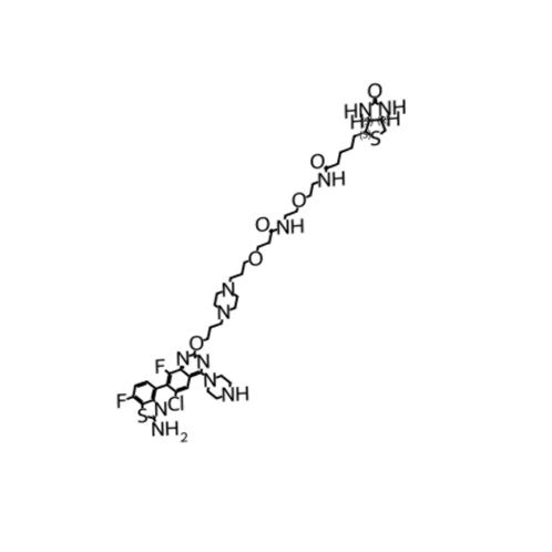 Nc1nc2c(-c3c(Cl)cc4c(N5CCNCC5)nc(OCCCN5CCN(CCCOCCC(=O)NCCOCCNC(=O)CCCC[C@@H]6SC[C@@H]7NC(=O)N[C@@H]76)CC5)nc4c3F)ccc(F)c2s1